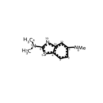 CNc1ccc2sc(N(C)C)nc2c1